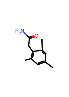 Cc1cc(C)c(CC(N)=O)c(C)c1